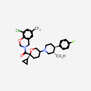 O=C(O)[C@@H]1CN(C2CC[C@@](C(=O)N3COc4c(Cl)cc(C(F)(F)F)cc4C3)(C3CC3)OC2)CC[C@H]1c1ccc(F)cc1